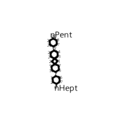 CCCCCCC[C@H]1CC[C@H](C2CCC3(CC2)CC2(CCC([C@H]4CC[C@H](CCCCC)CC4)CC2)C3)CC1